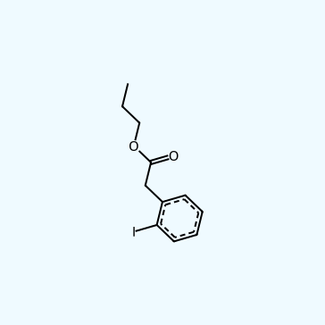 CCCOC(=O)Cc1ccccc1I